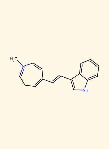 C[N+]1=CCC=C(C=Cc2c[nH]c3ccccc23)C=C1